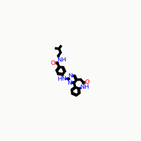 CC(C)CCNC(=O)c1ccc(Nc2ncc3c(n2)-c2ccccc2NC(=O)C3)cc1